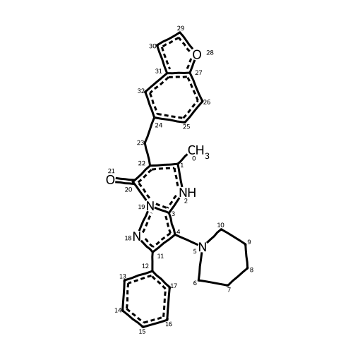 Cc1[nH]c2c(N3CCCCC3)c(-c3ccccc3)nn2c(=O)c1Cc1ccc2occc2c1